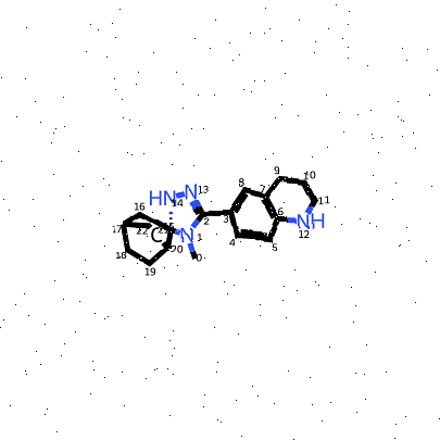 CN1C(c2ccc3c(c2)CCCN3)=NN[C@]12CC1CCC2CC1